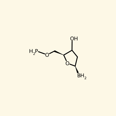 B[C@@H]1CC(O)[C@H](COP)O1